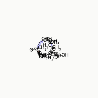 CO[C@@H]1C[C@H](C[C@@H](C)[C@@H]2CC(=O)[C@H](C)/C=C(\C)[C@@H](O)[C@@H](OC)C(=O)[C@H](C)C[C@H](C)/C=C/C=C/C=C(\C)C(OCC3COC3)C[C@@H]3CC[C@@H](C)[C@@](O)(O3)C(=O)C(=O)N3CCCCC3C(=O)O2)CC[C@H]1OCCO